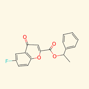 CC(OC(=O)c1cc(=O)c2cc(F)ccc2o1)c1ccccc1